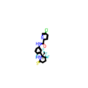 O=C(Nc1ccc(F)c([C@@]2(CF)NC(=S)CCC2(F)F)c1)c1ccc(Cl)cn1